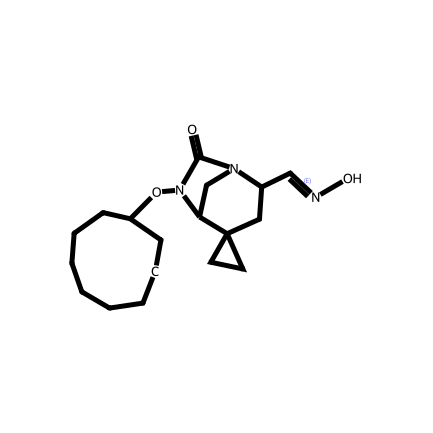 O=C1N2CC(N1OC1CCCCCCCC1)C1(CC1)CC2/C=N/O